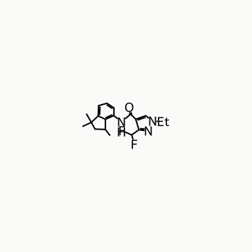 CCn1cc(C(=O)Nc2cccc3c2C(C)CC3(C)C)c(C(F)F)n1